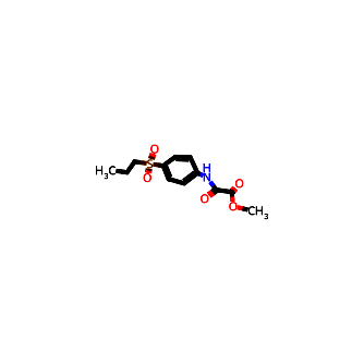 CCCS(=O)(=O)c1ccc(NC(=O)C(=O)OC)cc1